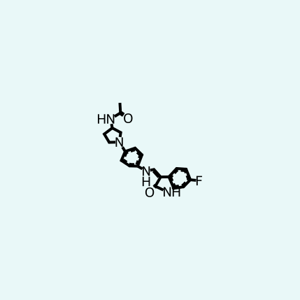 CC(=O)NC1CCN(c2ccc(NC=C3C(=O)Nc4cc(F)ccc43)cc2)C1